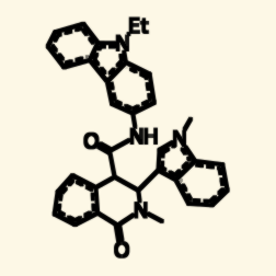 CCn1c2ccccc2c2cc(NC(=O)C3c4ccccc4C(=O)N(C)C3c3cn(C)c4ccccc34)ccc21